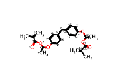 C=C(C)C(=O)OC(C)Oc1ccc(Cc2ccc(OC(C)OC(=O)C(=C)C)cc2)cc1